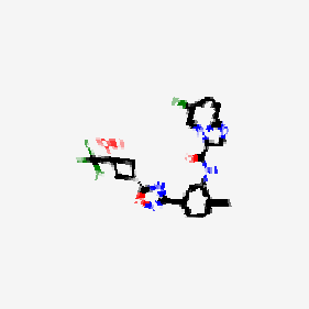 Cc1ccc(-c2noc([C@H]3C[C@](O)(C(F)(F)F)C3)n2)cc1NC(=O)c1cnc2ccc(F)cn12